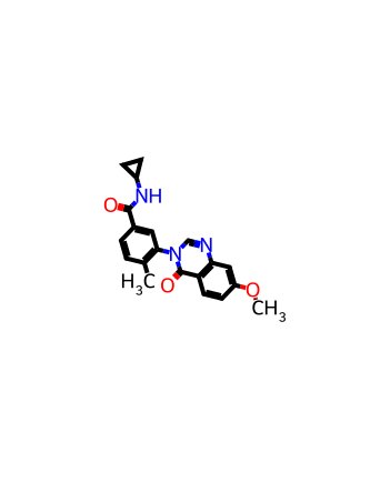 COc1ccc2c(=O)n(-c3cc(C(=O)NC4CC4)ccc3C)cnc2c1